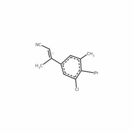 C/C(=C\C#N)c1cc(C)c(C(C)C)c(Cl)c1